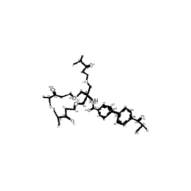 CC(C)C(=O)CCOCC(COCCC(=O)C(C)C)(COCCC(=O)C(C)C)NC(=O)c1ccc(-c2ccc(C(=O)C(C)C)cc2)cc1